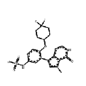 CCS(=O)(=O)Nc1ccc(OC2CCC(F)(F)CC2)c(-c2cn(C)c3c(=O)[nH]ccc23)c1